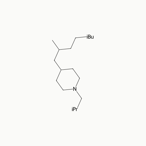 CCC(C)CCC(C)CC1CCN(CC(C)C)CC1